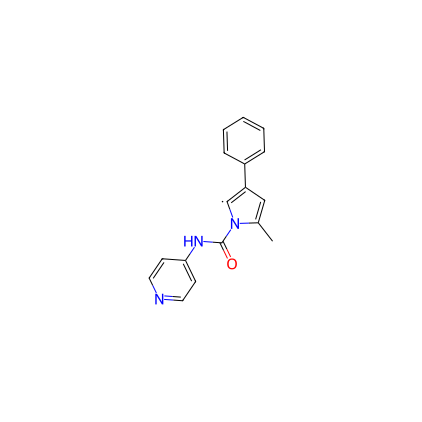 Cc1cc(-c2ccccc2)[c]n1C(=O)Nc1ccncc1